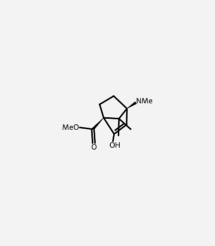 CN[C@]12C=C(O)[C@](C(=O)OC)(CC1)C2(C)C